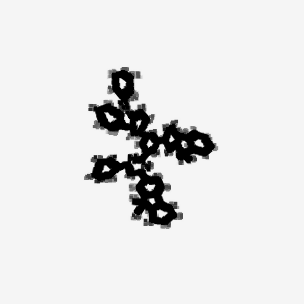 CC1(C)c2ccccc2-c2ccc(-c3cc(-c4ccc5c(c4)c4ccccc4n5-c4ccccc4)cc(-c4nc(-c5ccccc5)cc(-c5ccc6c(c5)C(C)(C)c5ccccc5-6)n4)c3)cc21